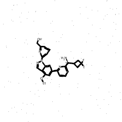 CCOc1cc(-c2cccc([C@@H](N)C3CC(F)(F)C3)n2)cc2c1cnn2-c1cccc(CO)n1